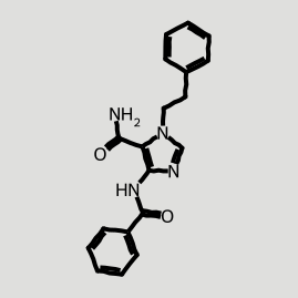 NC(=O)c1c(NC(=O)c2ccccc2)ncn1CCc1ccccc1